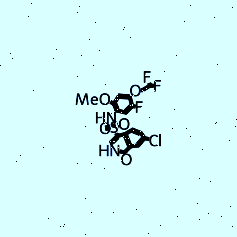 COc1cc(OCC(F)F)c(F)cc1NS(=O)(=O)c1c[nH]c(=O)c2cc(Cl)ccc12